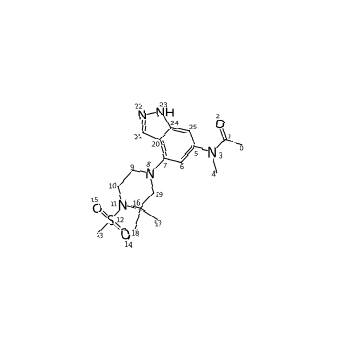 CC(=O)N(C)c1cc(N2CCN(S(C)(=O)=O)C(C)(C)C2)c2cn[nH]c2c1